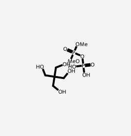 COP(=O)(OC)OP(=O)(O)O.OCC(CO)(CO)CO